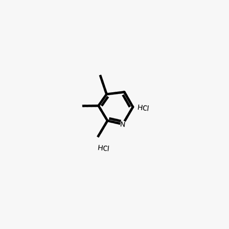 Cc1ccnc(C)c1C.Cl.Cl